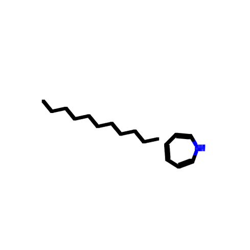 C1=CC=CNC=C1.CCCCCCCCCCC